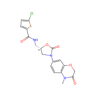 CN1C(=O)COc2cc(N3C[C@H](CNC(=O)c4ccc(Cl)s4)OC3=O)ccc21